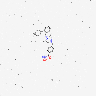 CC1CN(Cc2ccc(C(=O)NO)cc2)CC(C)N1Cc1ccccc1C1=CCC(C)(C)CC1